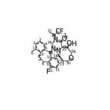 Cc1cccc2c1SCc1c(F)cccc1[C@@H]2N1CN([C@H](C)C(F)(F)F)C(=O)/C2=C(\O)COC/C=C\N21